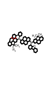 CC1(C)c2cccc3ccc4cc(N(c5ccccc5-c5ccccc5)c5ccc6ccc7c(N(c8cc9c%10c(ccc%11cccc(c%11%10)C9(C)C)c8)c8cccc9c8oc8ccccc89)ccc8ccc5c6c87)cc1c4c23